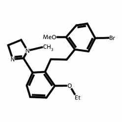 CCOc1cccc(C2=NCCN2C)c1CCc1cc(Br)ccc1OC